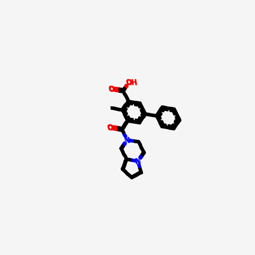 Cc1c(C(=O)O)cc(-c2ccccc2)cc1C(=O)N1CCN2CCCC2C1